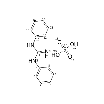 N=C(Nc1ccccc1)Nc1ccccc1.O=S(=O)(O)O